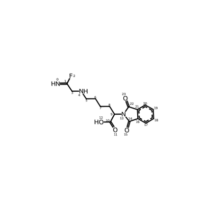 N=C(F)CNCCCCC(C(=O)O)N1C(=O)c2ccccc2C1=O